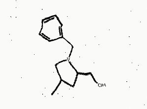 CC1CC(CO)N(Cc2ccccc2)C1